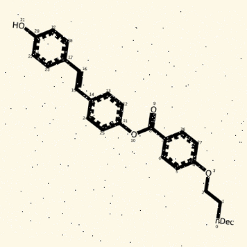 CCCCCCCCCCCCOc1ccc(C(=O)Oc2ccc(C=Cc3ccc(O)cc3)cc2)cc1